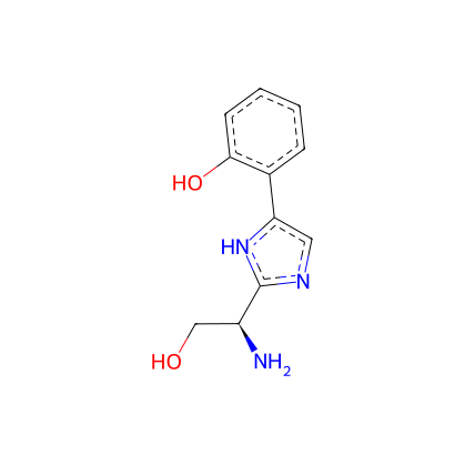 N[C@@H](CO)c1ncc(-c2ccccc2O)[nH]1